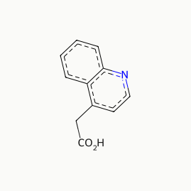 O=C(O)Cc1ccnc2ccccc12